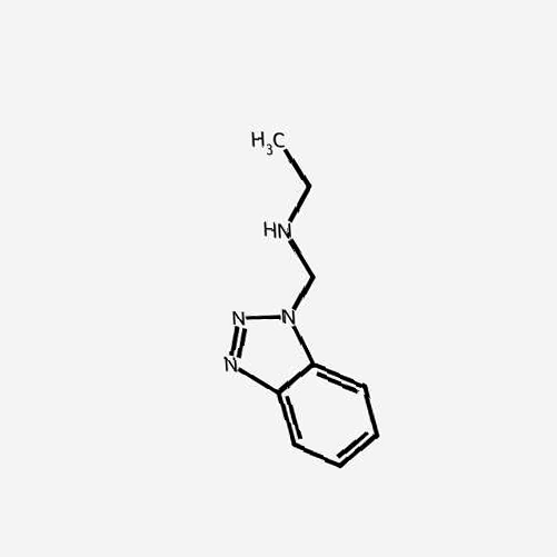 CCNCn1nnc2ccccc21